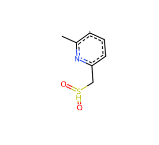 Cc1[c]ccc(C[SH](=O)=O)n1